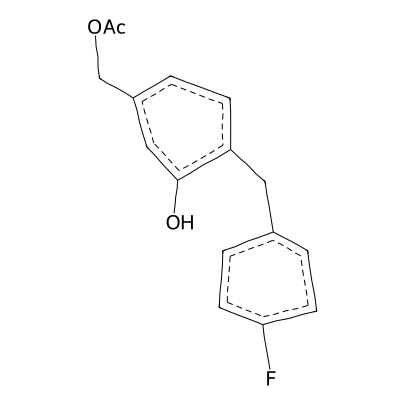 CC(=O)OCc1ccc(Cc2ccc(F)cc2)c(O)c1